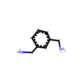 [NH]Cc1cccc(CN)c1